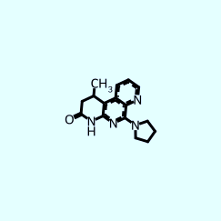 CC1CC(=O)Nc2nc(N3CCCC3)c3ncccc3c21